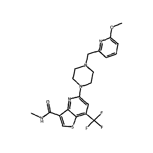 CNC(=O)c1csc2c(C(F)(F)F)cc(N3CCN(Cc4cccc(OC)n4)CC3)nc12